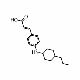 CCCC1CCC(Nc2ccc(/C=C/C(=O)O)cc2)CC1